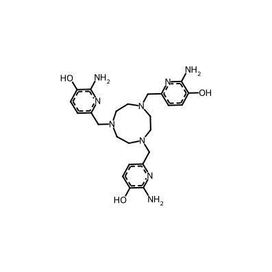 Nc1nc(CN2CCN(Cc3ccc(O)c(N)n3)CCN(Cc3ccc(O)c(N)n3)CC2)ccc1O